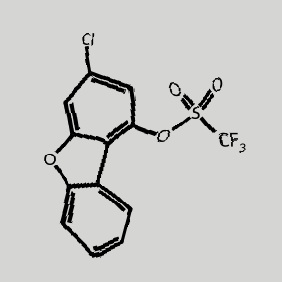 O=S(=O)(Oc1cc(Cl)cc2oc3ccccc3c12)C(F)(F)F